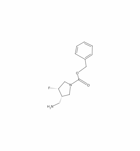 NC[C@H]1CN(C(=O)OCc2ccccc2)C[C@H]1F